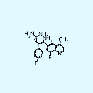 Cc1ccnc2c(F)cc(/C(N)=C(/N=C(N)N)c3ccc(F)cc3)cc12